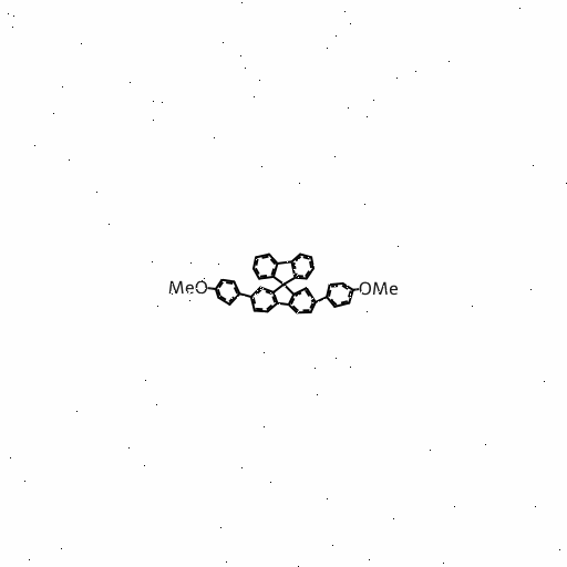 COc1ccc(-c2ccc3c(c2)C2(c4ccccc4-c4ccccc42)c2cc(-c4ccc(OC)cc4)ccc2-3)cc1